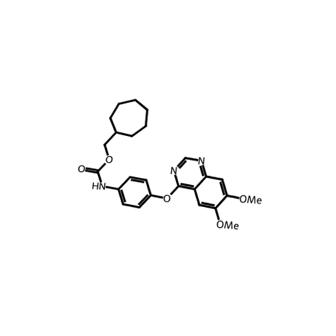 COc1cc2ncnc(Oc3ccc(NC(=O)OCC4CCCCCC4)cc3)c2cc1OC